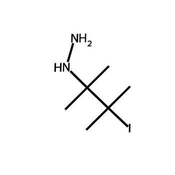 CC(C)(I)C(C)(C)NN